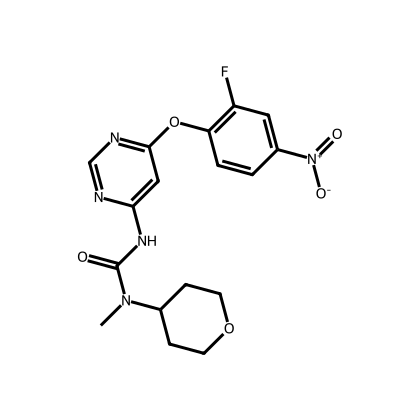 CN(C(=O)Nc1cc(Oc2ccc([N+](=O)[O-])cc2F)ncn1)C1CCOCC1